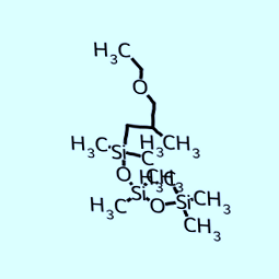 CCOCC(C)C[Si](C)(C)O[Si](C)(C)O[Si](C)(C)C